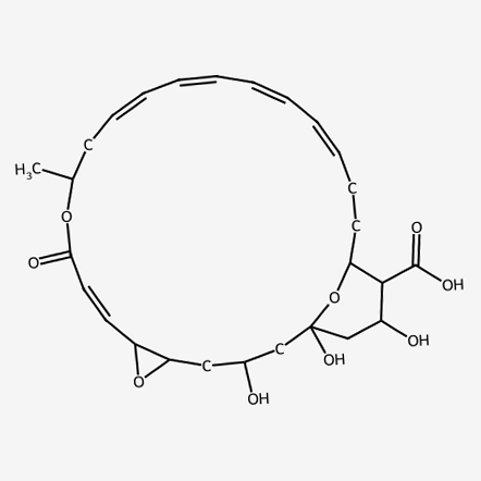 CC1CC=CC=CC=CC=CCCC2OC(O)(CC(O)CC3OC3C=CC(=O)O1)CC(O)C2C(=O)O